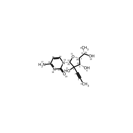 CC#CC1(O)[C@@H](O)[C@@H]([C@H](C)O)O[C@H]1n1ccc(N)nc1=O